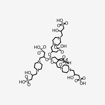 C[N+](C)(C)CCC[Si](OC(CN1CCN(CC(O)CS(=O)(=O)O)CC1)CS(=O)(=O)O)(OC(CN1CCN(CC(O)CS(=O)(=O)O)CC1)CS(=O)(=O)O)OC(CN1CCN(CC(O)CS(=O)(=O)O)CC1)CS(=O)(=O)O